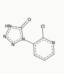 O=c1[nH]nnn1-c1cccnc1Cl